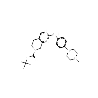 CN1CCN(c2ccc(Nc3ncc4c(n3)CN(C(=O)OC(C)(C)C)CC4)cc2)CC1